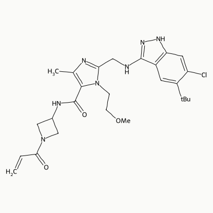 C=CC(=O)N1CC(NC(=O)c2c(C)nc(CNc3n[nH]c4cc(Cl)c(C(C)(C)C)cc34)n2CCOC)C1